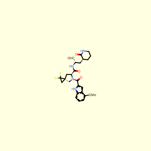 COc1cccc2[nH]c(C(=O)N3C[C@]4(C[C@H]3C(=O)N[C@H](C=O)C[C@@H]3CCCNC3=O)CC4(F)F)cc12